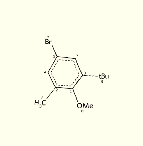 COc1c(C)cc(Br)cc1C(C)(C)C